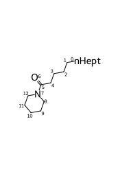 [CH2]CCCCCCCCCCC(=O)N1CCCCC1